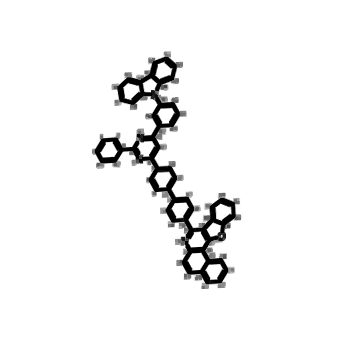 c1ccc(-c2nc(-c3ccc(-c4ccc(-c5nc6ccc7ccccc7c6c6oc7ccccc7c56)cc4)cc3)cc(-c3cccc(-n4c5ccccc5c5ccccc54)c3)n2)cc1